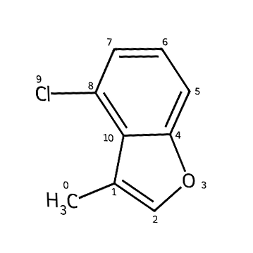 Cc1coc2cccc(Cl)c12